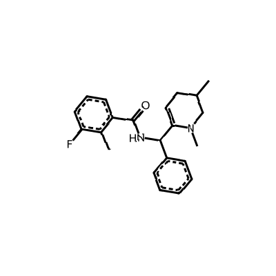 Cc1c(F)cccc1C(=O)NC(C1=CCC(C)CN1C)c1ccccc1